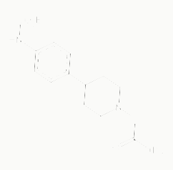 CCOC(=O)Nc1ccc(C2CCN(OC(=O)C(C)(C)C)CC2)cc1